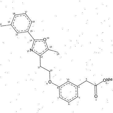 COC(=O)Cc1cccc(OCCc2nc(-c3cccc(C)c3)oc2C)c1